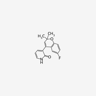 CC1(C)C=C(c2ccc[nH]c2=O)c2cc(F)ccc2O1